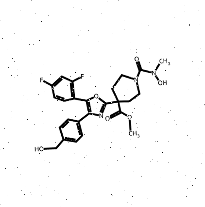 COC(=O)C1(c2nc(-c3ccc(CO)cc3)c(-c3ccc(F)cc3F)o2)CCN(C(=O)N(C)O)CC1